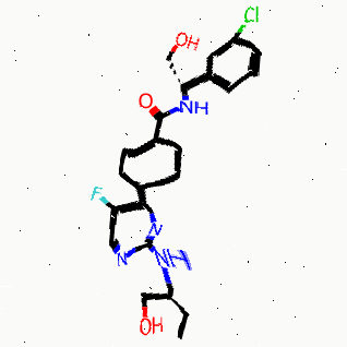 CC[C@@H](CO)Nc1ncc(F)c(-c2ccc(C(=O)N[C@H](CO)c3cccc(Cl)c3)cc2)n1